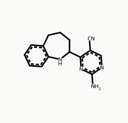 N#Cc1cnc(N)nc1C1CCCc2ccccc2N1